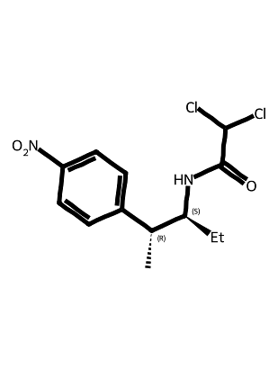 CC[C@H](NC(=O)C(Cl)Cl)[C@H](C)c1ccc([N+](=O)[O-])cc1